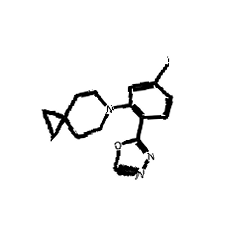 Ic1ccc(-c2nnco2)c(N2CCC3(CC2)CC3)c1